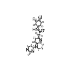 Cc1nccc(N2CCCc3nc(C(C)(C)C(=O)Nc4ccc(Cl)c(F)c4)ccc32)n1